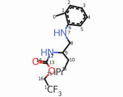 Cc1ccccc1NCC(CC(C)C)NC(=O)OCC(F)(F)F